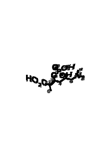 CC(C(=O)O)=C(CCCN(C)C)OP(=O)(O)O